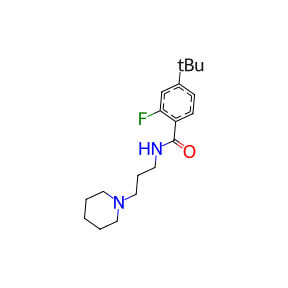 CC(C)(C)c1ccc(C(=O)NCCCN2CCCCC2)c(F)c1